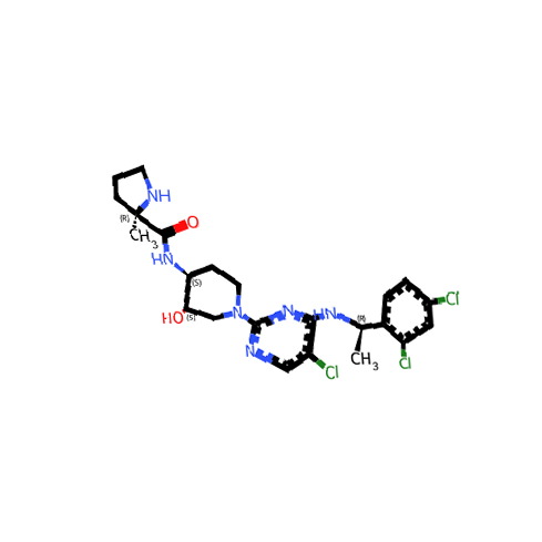 C[C@@H](Nc1nc(N2CC[C@H](NC(=O)[C@@]3(C)CCCN3)[C@@H](O)C2)ncc1Cl)c1ccc(Cl)cc1Cl